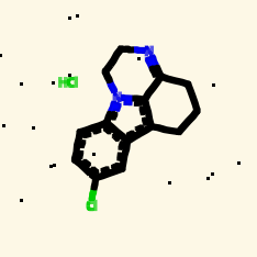 Cl.Clc1ccc2c(c1)c1c3n2CCN=C3CCC1